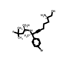 CC(C)(F)C[C@H](N[C@@](C#CCCC[C@H](N)CO)(c1ccc(Br)cc1)C(F)(F)F)C(=O)O